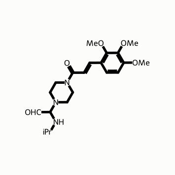 COc1ccc(/C=C/C(=O)N2CCN(C(C=O)NC(C)C)CC2)c(OC)c1OC